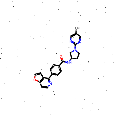 N#Cc1cnc(N2CCC(NC(=O)c3ccc(-c4nccc5occc45)cc3)C2)nc1